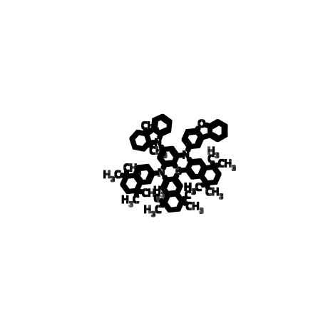 CC1(C)CCC(C)(C)c2cc(N3c4cc5c(cc4B4c6cc7c(cc6N(c6ccc8oc9ccccc9c8c6)c6cc(N8c9ccccc9C9(C)CCCCC89C)cc3c64)C(C)(C)CCC7(C)C)C(C)(C)CCC5(C)C)ccc21